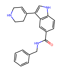 O=C(NCc1ccccc1)c1ccc2[nH]cc(C3=CCNCC3)c2c1